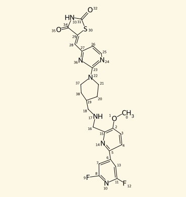 COc1ccc(-c2cc(F)nc(F)c2)nc1CNCC1CCN(c2nccc(/C=C3\SC(=O)NC3=O)n2)CC1